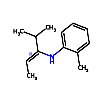 C/C=C(\Nc1ccccc1C)C(C)C